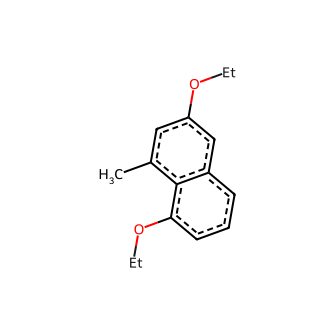 CCOc1cc(C)c2c(OCC)cccc2c1